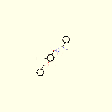 Cc1cc(C(=O)NCC(c2ccccc2)N(C)C)cc(C)c1OCc1ccccc1